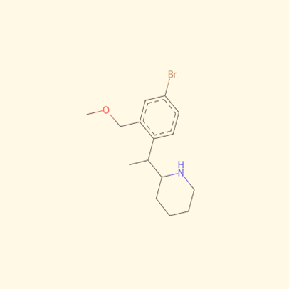 COCc1cc(Br)ccc1C(C)C1CCCCN1